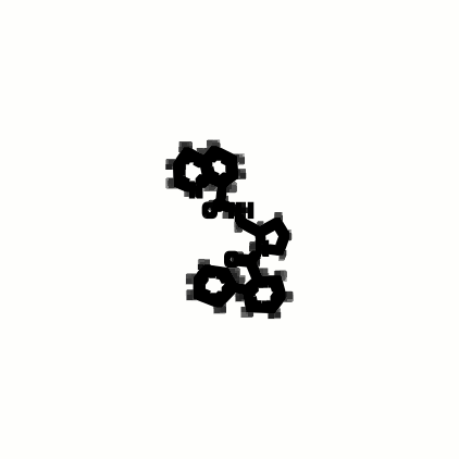 O=C(NCC1CCCN1C(=O)c1ccccc1-c1ccccc1)c1cccc2cccnc12